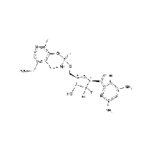 CC(=O)OCc1cnc(C)c2c1CNP(=O)(OC[C@H]1O[C@@H](n3cnc4c(N)nc(N)nc43)C(F)(Br)C1O)O2